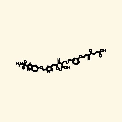 NS(=O)(=O)c1nc2ccc(OCC3=CC(CC(=O)NC(COCc4cccc(OCCNC(=O)CCC(=O)O)c4)C(=O)O)N=N3)cc2s1